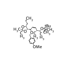 C=CC[C@@H]1OC(C)(C)O[C@@H]1C(/C=C\[C@@H](C)[C@H](C)O[Si](C)(C)C(C)(C)C)OCc1ccc(OC)cc1